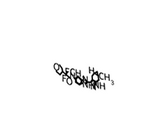 CN(C(=O)C(F)(F)C1CCOCC1)c1ccc2[nH]c(-c3n[nH]c4c3C[C@@H]3C[C@]3(C)C4)nc2c1